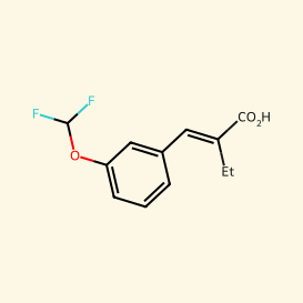 CC/C(=C\c1cccc(OC(F)F)c1)C(=O)O